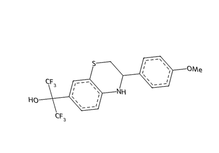 COc1ccc(C2CSc3cc(C(O)(C(F)(F)F)C(F)(F)F)ccc3N2)cc1